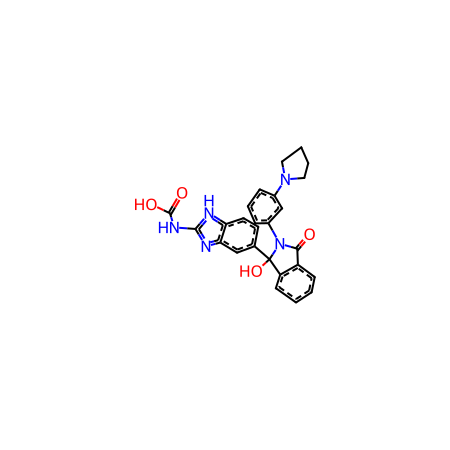 O=C(O)Nc1nc2cc(C3(O)c4ccccc4C(=O)N3c3cccc(N4CCCC4)c3)ccc2[nH]1